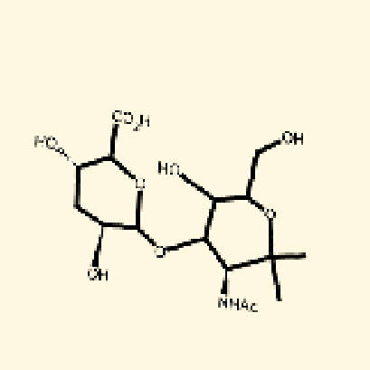 CC(=O)N[C@H]1C(OC2OC(C(=O)O)[C@@H](O)C[C@@H]2O)C(O)C(CO)OC1(C)C